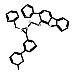 CC1C=CC=C(c2cccc(C3N(C(N)Nc4c(-c5ccccc5)ccc5c4oc4ccccc45)[N@]3Cc3ccccc3)c2)C1